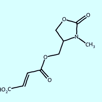 CN1C(=O)OCC1COC(=O)C=CC(=O)O